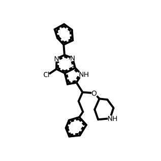 Clc1nc(-c2ccccc2)nc2[nH]c(C(CCc3ccccc3)OC3CCNCC3)cc12